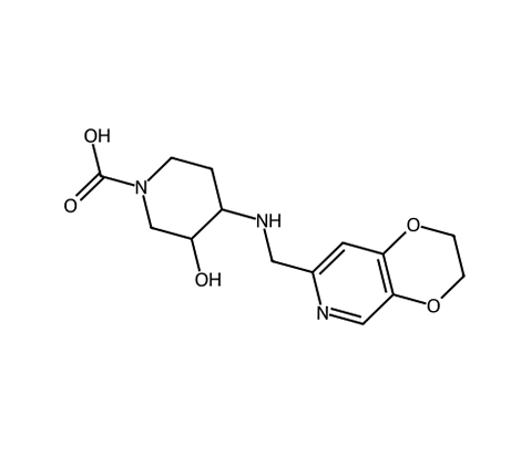 O=C(O)N1CCC(NCc2cc3c(cn2)OCCO3)C(O)C1